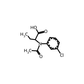 CCC(C(=O)O)N(C(C)=O)c1cccc(Cl)c1